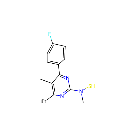 Cc1c(-c2ccc(F)cc2)nc(N(C)S)nc1C(C)C